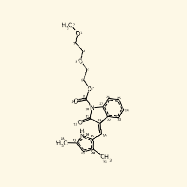 COCCOCCOC(=O)N1C(=O)/C(=C\c2[nH]c(C)cc2C)c2ccccc21